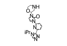 CC(C)n1cnnc1-c1cccc(-n2ccn(C3CNCCO3)c2=O)n1